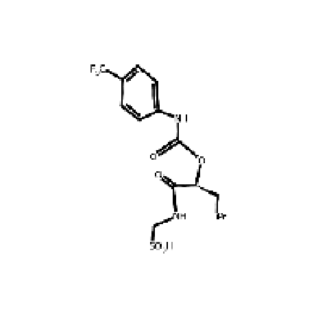 CC(C)C[C@H](OC(=O)Nc1ccc(C(F)(F)F)cc1)C(=O)NCS(=O)(=O)O